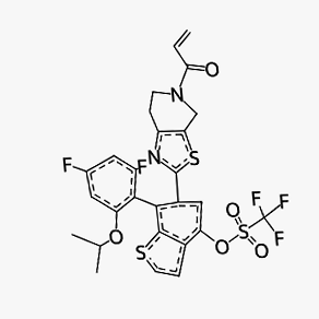 C=CC(=O)N1CCc2nc(-c3cc(OS(=O)(=O)C(F)(F)F)c4ccsc4c3-c3c(F)cc(F)cc3OC(C)C)sc2C1